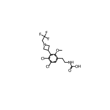 COc1c(CCNC(=O)O)cc(Cl)c(Cl)c1C1CN(CC(F)(F)F)C1